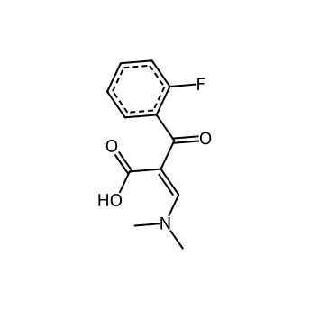 CN(C)C=C(C(=O)O)C(=O)c1ccccc1F